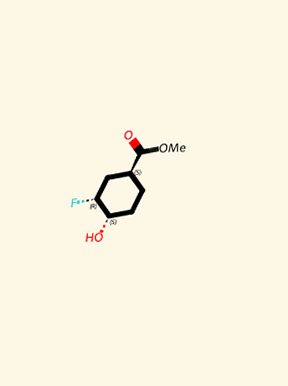 COC(=O)[C@H]1CC[C@H](O)[C@H](F)C1